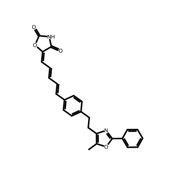 Cc1oc(-c2ccccc2)nc1CCc1ccc(C=CC=CC=C2OC(=O)NC2=O)cc1